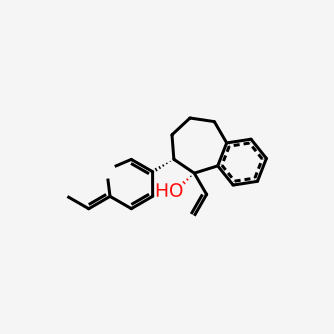 C=C[C@]1(O)c2ccccc2CCC[C@H]1C(/C=C\C(C)=CC)=C/C